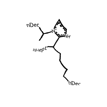 CCCCCCCCCCCCCCC(CCCCCCC)c1[nH]cc[n+]1C(C)CCCCCCCCCC